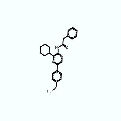 COc1ccc(-c2cnc(NC(=O)Cc3ccccc3)c(C3CCCCC3)n2)cc1